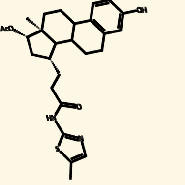 CC(=O)O[C@H]1C[C@@H](CCC(=O)Nc2ncc(C)s2)C2C3CCc4cc(O)ccc4C3CC[C@@]21C